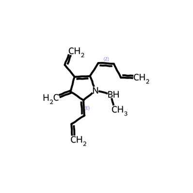 C=C/C=C\c1c(C=C)c(=C)/c(=C\C=C)n1BC